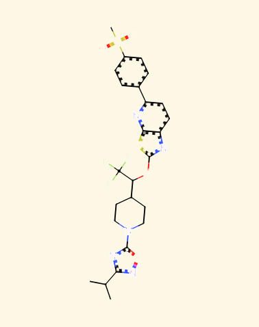 CC(C)c1noc(N2CCC(C(Oc3nc4ccc(-c5ccc(S(C)(=O)=O)cc5)nc4s3)C(F)(F)F)CC2)n1